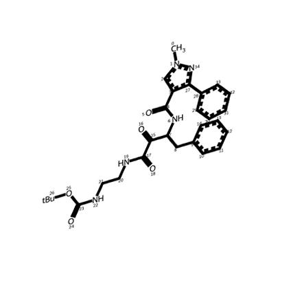 Cn1cc(C(=O)NC(Cc2ccccc2)C(=O)C(=O)NCCNC(=O)OC(C)(C)C)c(-c2ccccc2)n1